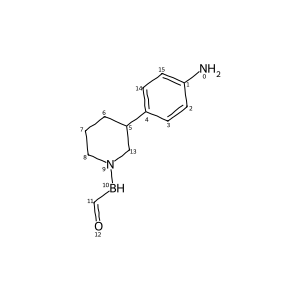 Nc1ccc(C2CCCN(BC=O)C2)cc1